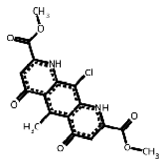 COC(=O)c1cc(=O)c2c(C)c3c(=O)cc(C(=O)OC)[nH]c3c(Cl)c2[nH]1